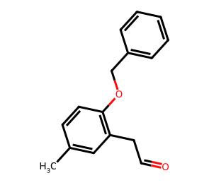 Cc1ccc(OCc2ccccc2)c(CC=O)c1